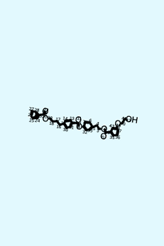 O=C(OCCc1ccc(OC(=O)c2ccc(CCCCOC(=O)C3CC4C=CC3C4)cc2)cc1)c1cccc(OCCO)c1